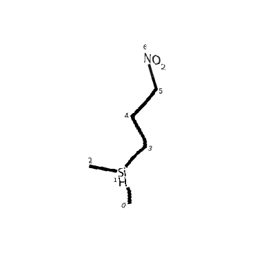 C[SiH](C)CCC[N+](=O)[O-]